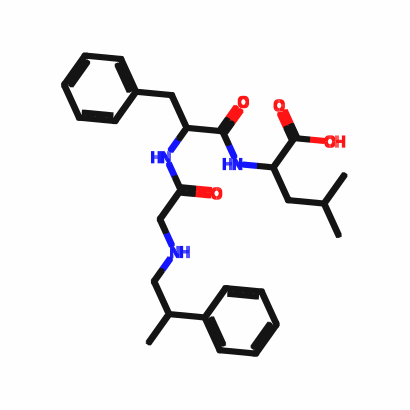 CC(C)CC(NC(=O)C(Cc1ccccc1)NC(=O)CNCC(C)c1ccccc1)C(=O)O